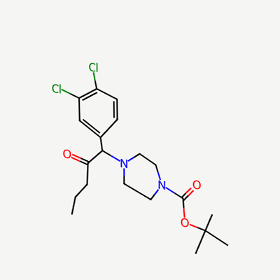 CCCC(=O)C(c1ccc(Cl)c(Cl)c1)N1CCN(C(=O)OC(C)(C)C)CC1